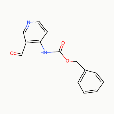 O=Cc1cnccc1NC(=O)OCc1ccccc1